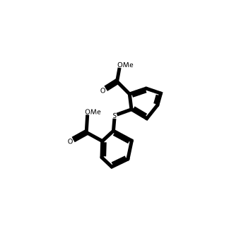 COC(=O)c1ccccc1Sc1ccccc1C(=O)OC